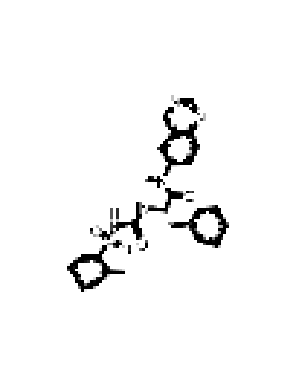 Cc1ccccc1S(=O)(=O)NC(=O)N[C@@H](Cc1ccccc1)C(=O)N(C)c1ccc2ncncc2c1